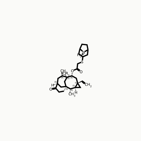 C=C[C@@]12C[C@H]1[C@H](C)[C@]13CCC(=O)[C@@H](C[C@@H](C)[C@](C)(C1)[C@H](OC(=O)CSC1CC4CCC(C1)N4C)C2)C3